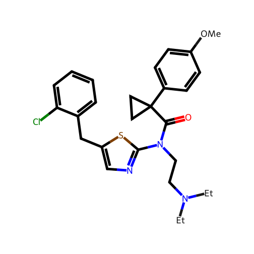 CCN(CC)CCN(C(=O)C1(c2ccc(OC)cc2)CC1)c1ncc(Cc2ccccc2Cl)s1